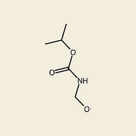 CC(C)OC(=O)NC[O]